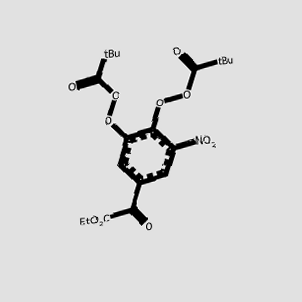 CCOC(=O)C(=O)c1cc(OOC(=O)C(C)(C)C)c(OOC(=O)C(C)(C)C)c([N+](=O)[O-])c1